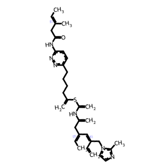 C=C/C(=C\C(=C/C)CC(=C)NC(=C)SC(=C)CCCCc1ccc(NC(=O)C/C(C)=C/C)nn1)Cn1ccnc1C